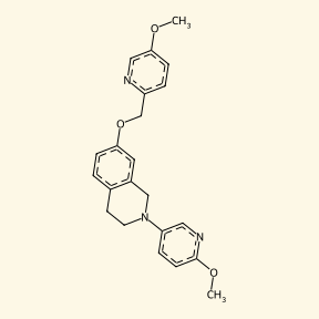 COc1ccc(COc2ccc3c(c2)CN(c2ccc(OC)nc2)CC3)nc1